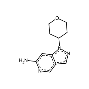 Nc1cc2c(cn1)cnn2C1CCOCC1